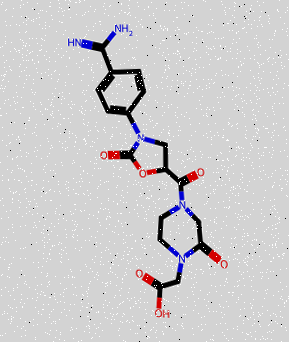 N=C(N)c1ccc(N2CC(C(=O)N3CCN(CC(=O)O)C(=O)C3)OC2=O)cc1